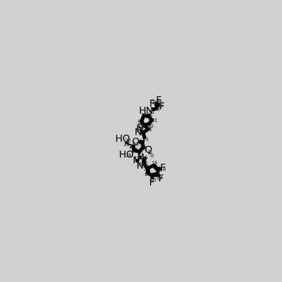 CO[C@@H]1[C@@H](n2cc(-c3cc(F)c(F)c(F)c3)nn2)[C@@H](O)[C@@H](CO)O[C@@H]1CC1=NOC2(CCC(NCC(F)(F)F)CC2)C1